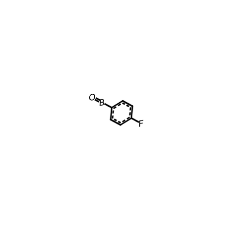 O=Bc1ccc(F)cc1